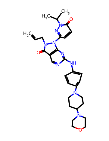 C=CCn1c(=O)c2cnc(Nc3ccc(N4CCC(N5CCOCC5)CC4)cc3)nc2n1-c1ccc(=O)n(C(C)C)n1